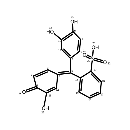 O=C1C=C/C(=C(\c2ccc(O)c(O)c2)c2ccccc2S(=O)(=O)O)C=C1O